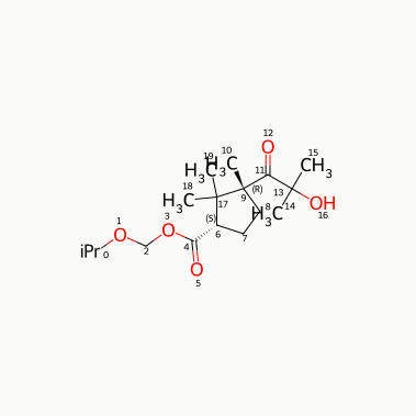 CC(C)OCOC(=O)[C@H]1CC[C@@](C)(C(=O)C(C)(C)O)C1(C)C